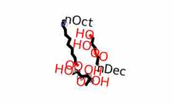 CCCCCCCC/C=C\CCCCCCCC(=O)O[C@H](CO)[C@H]1OC[C@H](O)[C@H]1O.CCCCCCCCCCCC(=O)OCC(O)CO